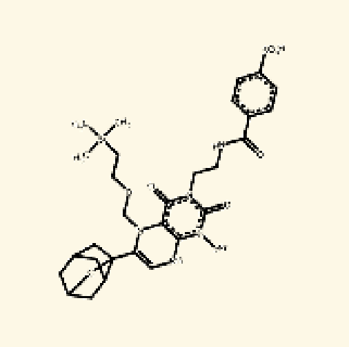 CCCn1c2c(c(=O)n(CCNC(=O)c3ccc(S(=O)(=O)O)cc3)c1=O)N(COCC[Si](C)(C)C)C(C13CC4CC(CC1C4)C3)=CN2